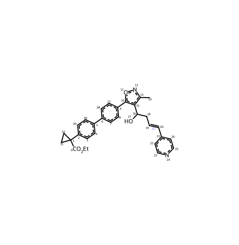 CCOC(=O)C1(c2ccc(-c3ccc(-c4onc(C)c4C(O)C/C=C/c4ccncc4)cc3)cc2)CC1